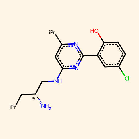 CC(C)C[C@@H](N)CNc1cc(C(C)C)nc(-c2cc(Cl)ccc2O)n1